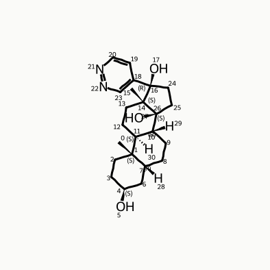 C[C@]12CC[C@H](O)C[C@H]1CC[C@@H]1[C@@H]2CC[C@]2(C)[C@](O)(c3ccnnc3)CC[C@]12O